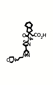 CN(C(=O)C1(CC(=O)O)Cc2ccccc2C1)c1nc(-c2cnn(CCCN3CCOCC3)c2)cs1